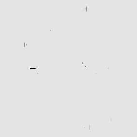 CC[C@@H](C)C(C(=O)O)c1c(C)n(C(=O)c2ccc(Cl)c(Cl)c2)c2cc(F)c(O)cc12